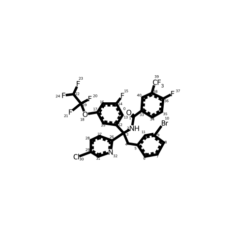 O=C(NC(Cc1cccc(Br)c1)(c1cc(F)cc(OC(F)(F)C(F)F)c1)c1ccc(Cl)cn1)c1ccc(F)c(C(F)(F)F)c1